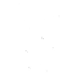 Nc1ncnc2c1ncn2C1O[C@H](CS)CC1O